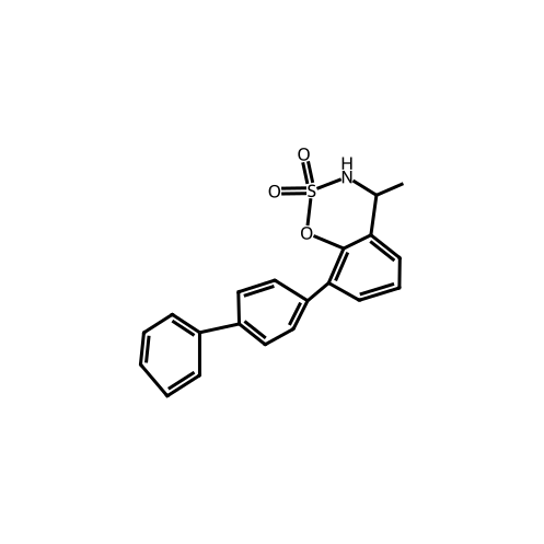 CC1NS(=O)(=O)Oc2c(-c3ccc(-c4ccccc4)cc3)cccc21